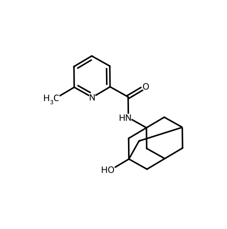 Cc1cccc(C(=O)NC23CC4CC(CC(O)(C4)C2)C3)n1